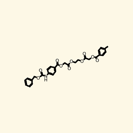 Cc1ccc(C(=O)OCC(=O)OCCOC(=O)COC(=O)c2ccc(NC(=O)OCc3ccccc3)cc2)cc1